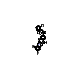 O=C1Nc2ccc(S(=O)(=O)Cc3c(Cl)cccc3Cl)cc2S/C1=C/c1c(F)cc(F)cc1F